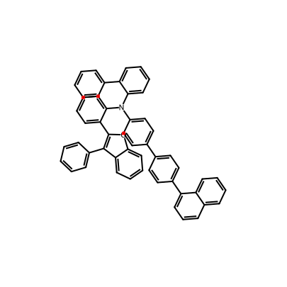 c1ccc(-c2ccccc2N(c2ccc(-c3ccc(-c4cccc5ccccc45)cc3)cc2)c2ccccc2-c2oc3ccccc3c2-c2ccccc2)cc1